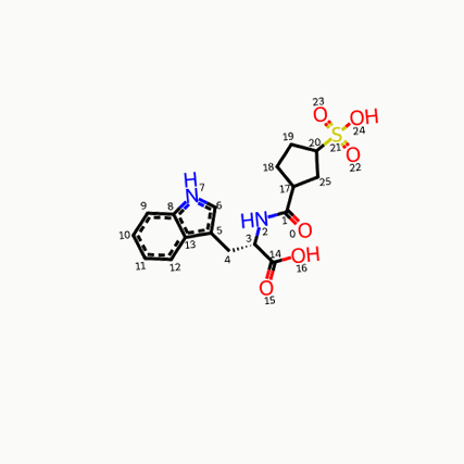 O=C(N[C@@H](Cc1c[nH]c2ccccc12)C(=O)O)C1CCC(S(=O)(=O)O)C1